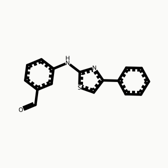 O=Cc1cccc(Nc2nc(-c3ccccc3)cs2)c1